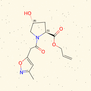 C=CCOC(=O)[C@@H]1C[C@@H](O)CN1C(=O)Cc1cc(C)no1